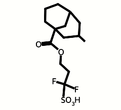 CC1CC2CCCC(C(=O)OCCC(F)(F)S(=O)(=O)O)(C1)C2